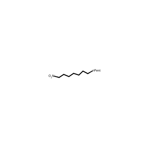 CCCCCCCCCCCC[N+](=O)[O-]